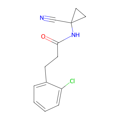 N#CC1(NC(=O)CCc2ccccc2Cl)CC1